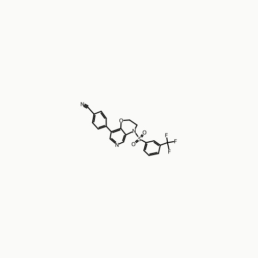 N#Cc1ccc(-c2cncc3c2OCCN3S(=O)(=O)c2cccc(C(F)(F)F)c2)cc1